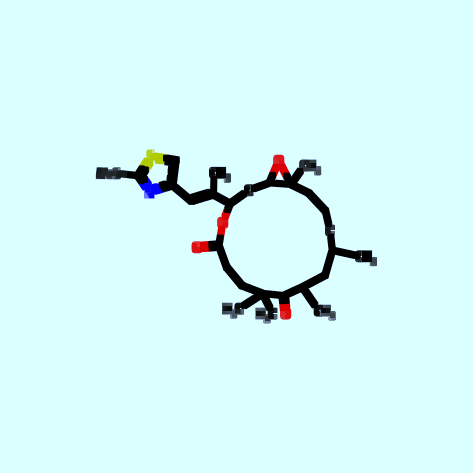 CSc1nc(C=C(C)C2CC3OC3(C)CCCC(C)CC(C)C(=O)C(C)(C)CCC(=O)O2)cs1